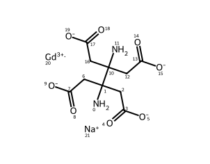 NC(CC(=O)[O-])(CC(=O)[O-])C(N)(CC(=O)[O-])CC(=O)[O-].[Gd+3].[Na+]